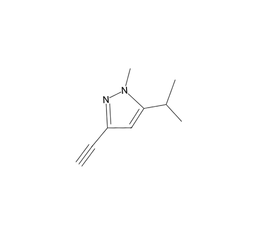 C#Cc1cc(C(C)C)n(C)n1